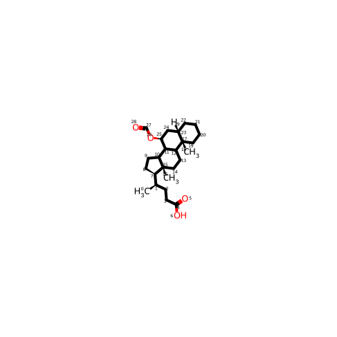 C[C@H](CCC(=O)O)[C@H]1CCC2C3C(CC[C@@]21C)[C@@]1(C)CCCC[C@H]1C[C@@H]3OC=O